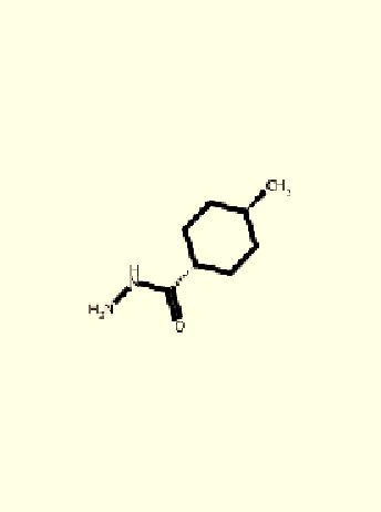 C[C@H]1CC[C@H](C(=O)NN)CC1